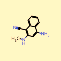 CNc1cc(N)c2ccccc2c1C#N